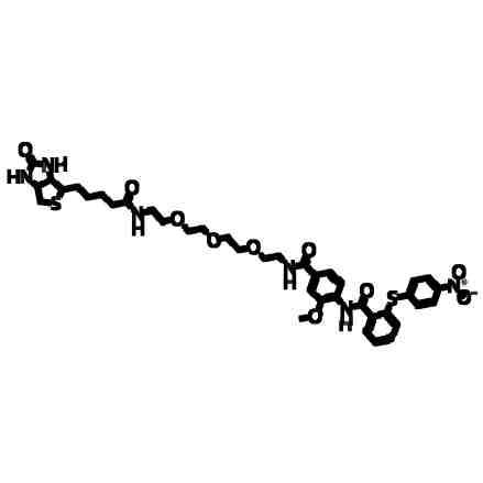 COc1cc(C(=O)NCCOCCOCCOCCNC(=O)CCCCC2SCC3NC(=O)NC32)ccc1NC(=O)c1ccccc1Sc1ccc([N+](=O)[O-])cc1